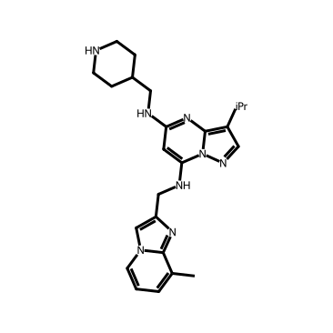 Cc1cccn2cc(CNc3cc(NCC4CCNCC4)nc4c(C(C)C)cnn34)nc12